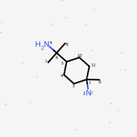 CC1([N])CCC(C(C)(C)N)CC1